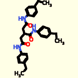 CCc1ccc(NC(=O)CC(CC(=O)Nc2ccc(CC)cc2)C(=O)Nc2ccc(CC)cc2)cc1